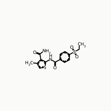 CCS(=O)(=O)c1ccc(C(=O)Nc2scc(C)c2C(N)=O)cc1